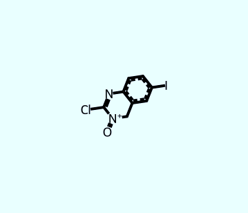 O=[N+]1Cc2cc(I)ccc2N=C1Cl